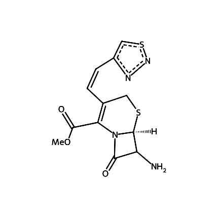 COC(=O)C1=C(/C=C\c2csnn2)CS[C@H]2C(N)C(=O)N12